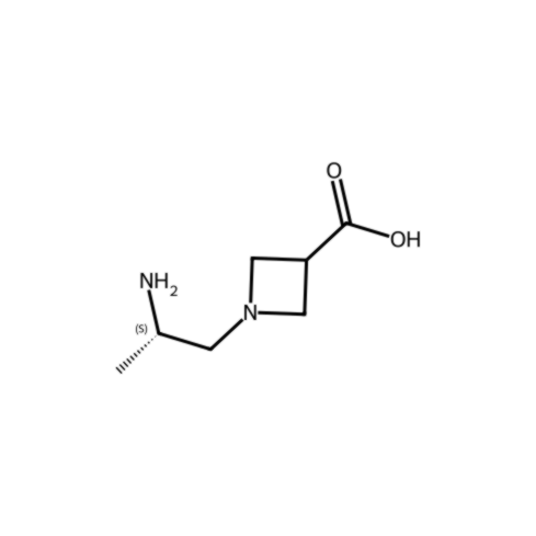 C[C@H](N)CN1CC(C(=O)O)C1